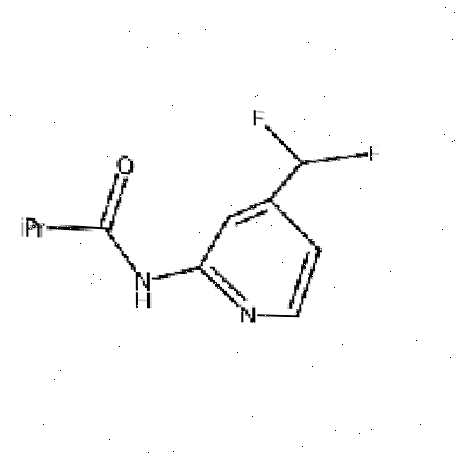 CC(C)C(=O)Nc1cc(C(F)F)ccn1